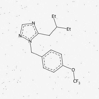 CCC(CC)Cc1ncnn1Cc1ccc(OC(F)(F)F)cc1